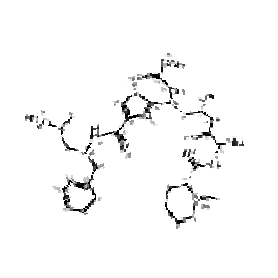 CC[C@H](C)[C@H](NC(=O)[C@H]1CCCCN1C)C(=O)N[C@H](C[C@@H](NC(=O)OC)c1nc(C(=O)N[C@@H](Cc2ccccc2)C[C@H](C)C(=O)O)cs1)C(C)C